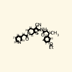 CCOc1cccc([C@@H](C)CC(=O)Nc2sc3c(c2C#N)CCN(C(=O)Cc2cccnc2)C3)c1